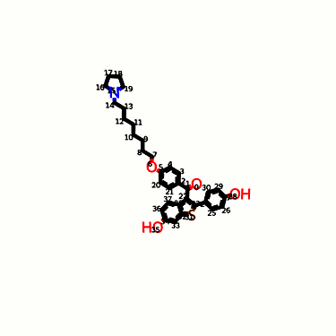 O=C(c1ccc(OCCCCCCCCN2CCCC2)cc1)c1c(-c2ccc(O)cc2)sc2cc(O)ccc12